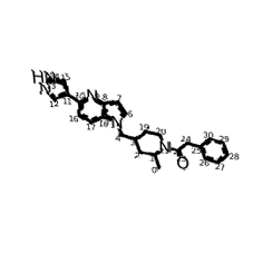 CC1CC(Cn2ccc3nc(-c4cn[nH]c4)ccc32)CCN1C(=O)Cc1ccccc1